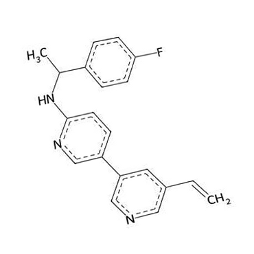 C=Cc1cncc(-c2ccc(NC(C)c3ccc(F)cc3)nc2)c1